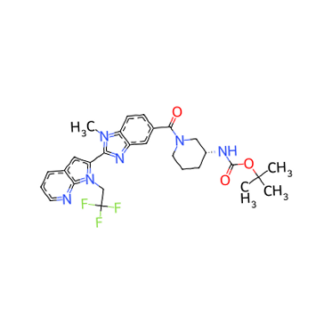 Cn1c(-c2cc3cccnc3n2CC(F)(F)F)nc2cc(C(=O)N3CCC[C@@H](NC(=O)OC(C)(C)C)C3)ccc21